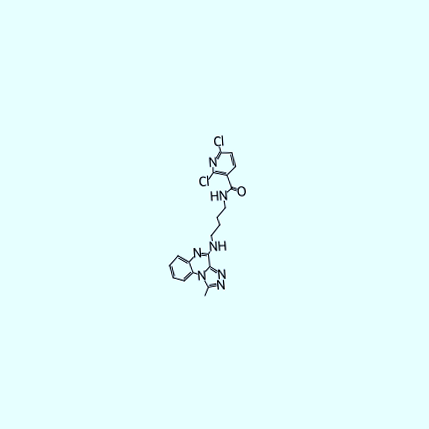 Cc1nnc2c(NCCCCNC(=O)c3ccc(Cl)nc3Cl)nc3ccccc3n12